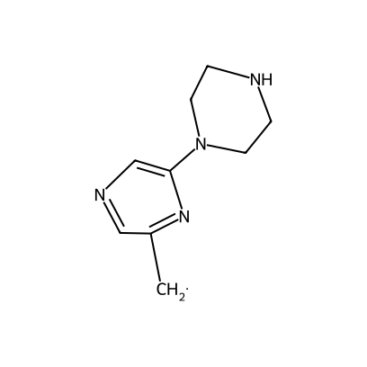 [CH2]c1cncc(N2CCNCC2)n1